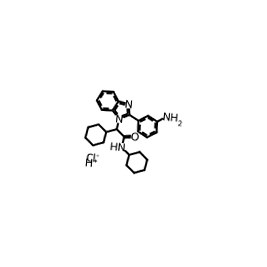 Nc1cccc(-c2nc3ccccc3n2C(C(=O)NC2CCCCC2)C2CCCCC2)c1.[Cl-].[H+]